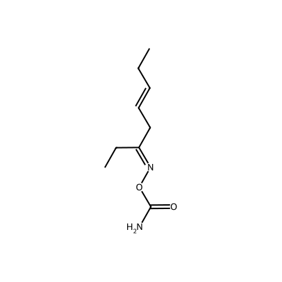 CC/C=C/C/C(CC)=N/OC(N)=O